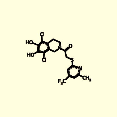 Cc1cc(C(F)(F)F)cc(SCC(=O)N2CCc3c(Cl)c(O)c(O)c(Cl)c3C2)n1